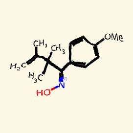 C=C(C)C(C)(C)/C(=N\O)c1ccc(OC)cc1